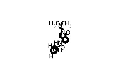 CN(C)CCn1ccc2c(NC(=O)[C@@]34C[C@@H]5C[C@@H](C[C@@H]3C5)C4)cccc2c1=O